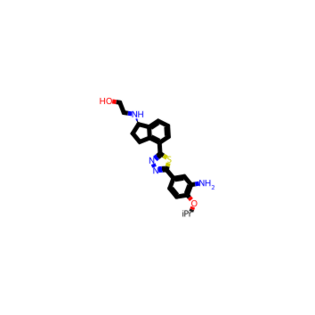 CC(C)Oc1ccc(-c2nnc(-c3cccc4c3CC[C@@H]4NCCO)s2)cc1N